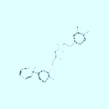 Cc1ccc(CC[N+](C)(C)C[C@@H](O)COc2cc(C3(C(=O)O)C=CC=CC3)ccc2C#N)cc1C